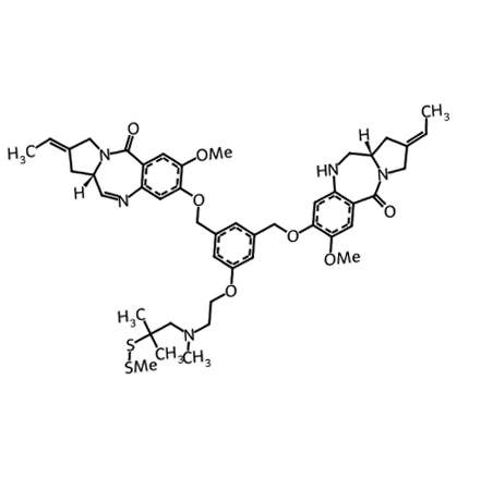 C/C=C1\C[C@H]2CNc3cc(OCc4cc(COc5cc6c(cc5OC)C(=O)N5C/C(=C/C)C[C@H]5C=N6)cc(OCCN(C)CC(C)(C)SSC)c4)c(OC)cc3C(=O)N2C1